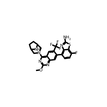 COc1nc(N2CC3CCC(C2)N3)c2cc(C(F)(F)F)c(-c3ccc(F)c4sc(N)nc34)cc2n1